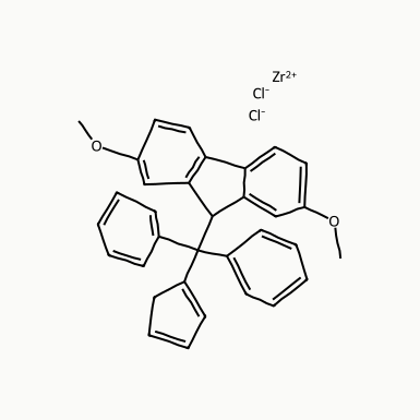 COc1ccc2c(c1)C(C(C1=CC=CC1)(c1ccccc1)c1ccccc1)c1cc(OC)ccc1-2.[Cl-].[Cl-].[Zr+2]